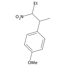 CCC(C(C)c1ccc(OC)cc1)[N+](=O)[O-]